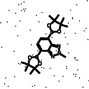 Cn1nc2c(B3OC(C)(C)C(C)(C)O3)ccc(B3OC(C)(C)C(C)(C)O3)c2n1